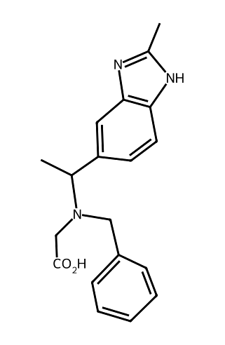 Cc1nc2cc(C(C)N(CC(=O)O)Cc3ccccc3)ccc2[nH]1